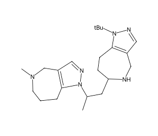 CC(CC1CCc2c(cnn2C(C)(C)C)CN1)n1ncc2c1CCCN(C)C2